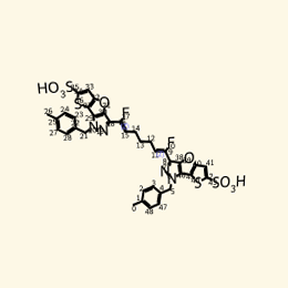 Cc1ccc(Cn2nc(/C(F)=C/CCC/C=C(\F)c3nn(Cc4ccc(C)cc4)c4c3oc3cc(S(=O)(=O)O)sc34)c3oc4cc(S(=O)(=O)O)sc4c32)cc1